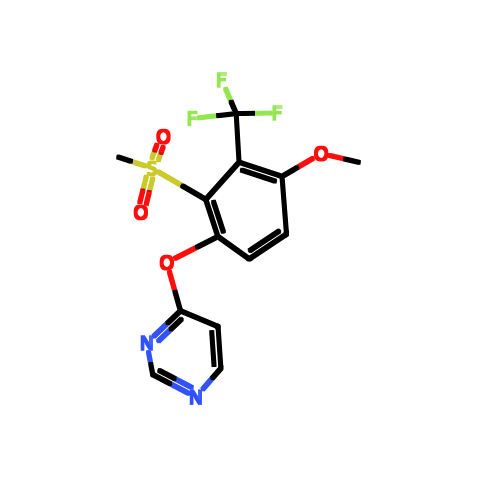 COc1ccc(Oc2ccncn2)c(S(C)(=O)=O)c1C(F)(F)F